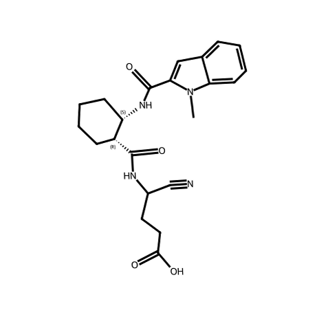 Cn1c(C(=O)N[C@H]2CCCC[C@H]2C(=O)NC(C#N)CCC(=O)O)cc2ccccc21